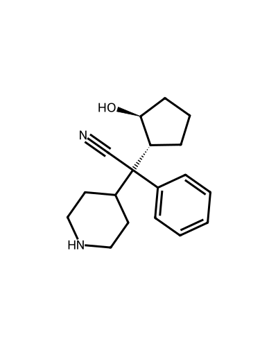 N#CC(c1ccccc1)(C1CCNCC1)[C@H]1CCC[C@@H]1O